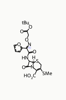 CSC1=C(C(=O)O)N2C(=O)C(NC(=O)/C(=N/OCC(=O)OC(C)(C)C)c3ccco3)[C@H]2SC1